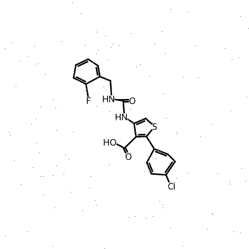 O=C(NCc1ccccc1F)Nc1csc(-c2ccc(Cl)cc2)c1C(=O)O